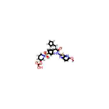 COc1ccc2nc(NC(=O)[C@H](CC3CCCC3)c3ccc(S(=O)(=O)N4CCCC(OC(=O)O)C4)cc3)sc2n1